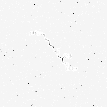 CCCCCCCCCCCCCCCOCC(O)COC=O